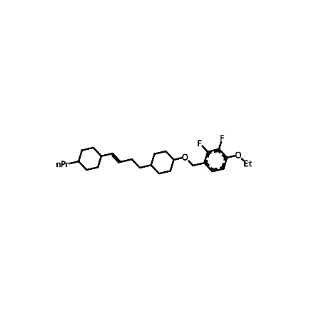 CCCC1CCC(/C=C/CCC2CCC(OCc3ccc(OCC)c(F)c3F)CC2)CC1